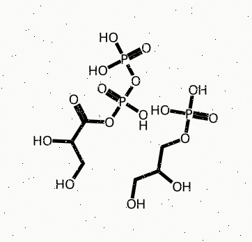 O=C(OP(=O)(O)OP(=O)(O)O)C(O)CO.O=P(O)(O)OCC(O)CO